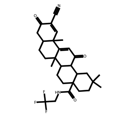 CC1(C)CCC2(C(=O)NCC(F)(F)F)CCC3C(C(=O)C=C4C5(C)C=C(C#N)C(=O)CC5CCC43C)C2C1